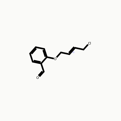 O=Cc1ccccc1OC/C=C/CCl